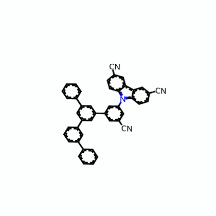 N#Cc1cc(-c2cc(-c3ccccc3)cc(-c3cccc(-c4ccccc4)c3)c2)cc(-n2c3ccc(C#N)cc3c3cc(C#N)ccc32)c1